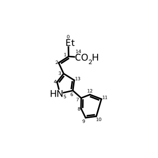 CCC(=Cc1c[nH]c(-c2ccccc2)c1)C(=O)O